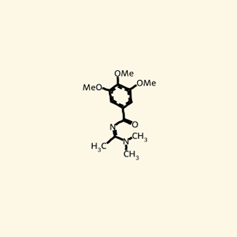 COc1cc(C(=O)N=C(C)N(C)C)cc(OC)c1OC